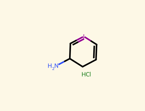 Cl.NC1C=IC=CC1